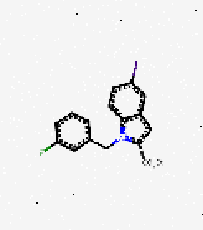 CCOC(=O)c1cc2cc(I)ccc2n1Cc1cccc(F)c1